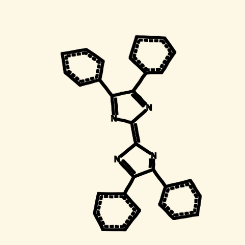 c1ccc(C2=NC(=C3N=C(c4ccccc4)C(c4ccccc4)=N3)N=C2c2ccccc2)cc1